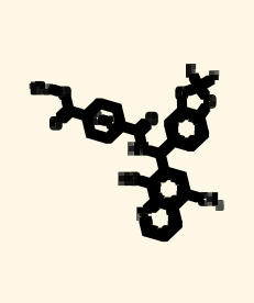 Cc1cc(C(NC(=O)C23CCC(C(=O)OC(C)(C)C)(CC2)CC3)c2ccc3c(c2)OC(F)(F)O3)c(O)c2ncccc12